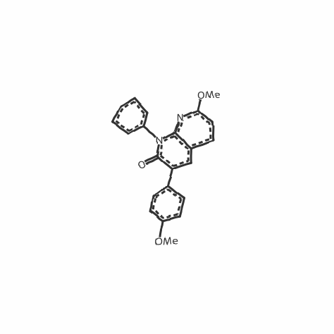 COc1ccc(-c2cc3ccc(OC)nc3n(-c3ccccc3)c2=O)cc1